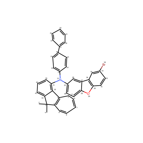 CC1(C)C2=C(CC=CC=C2)c2c(N(c3ccc(-c4ccccc4)cc3)c3ccc4oc5ccc(Br)cc5c4c3)cccc21